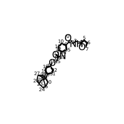 O=C(NCc1ccco1)c1ccc2oc(COc3ccc(C45CC6CC(CC(C6)C4)C5)cc3)nc2c1